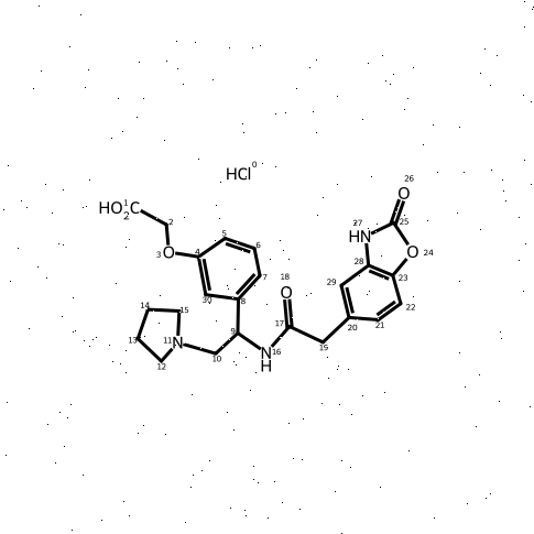 Cl.O=C(O)COc1cccc(C(CN2CCCC2)NC(=O)Cc2ccc3oc(=O)[nH]c3c2)c1